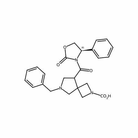 O=C(O)N1CC2(CN(Cc3ccccc3)CC2C(=O)N2C(=O)OC[C@H]2c2ccccc2)C1